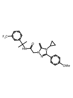 C=C1N(CC(=O)NC(C)(C)c2cccc(C(F)(F)F)c2)N=C(c2ccc(OC)cc2)N1C1CC1